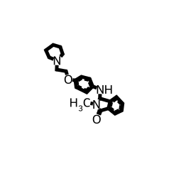 CN1C(=O)c2ccccc2C1Nc1ccc(OCCN2CCCCC2)cc1